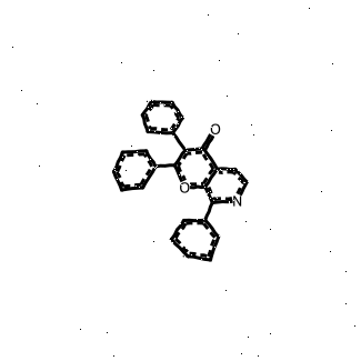 O=c1c(-c2cc[c]cc2)c(-c2ccccc2)oc2c(-c3cc[c]cc3)nccc12